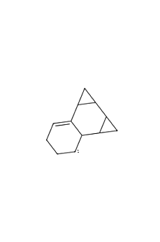 [C]1CCC=C2C1C1CC1C1CC21